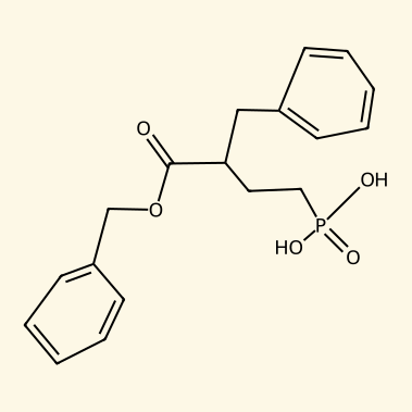 O=C(OCc1ccccc1)C(CCP(=O)(O)O)Cc1ccccc1